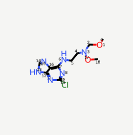 COCN(CCNc1nc(Cl)nc2[nH]cnc12)OC